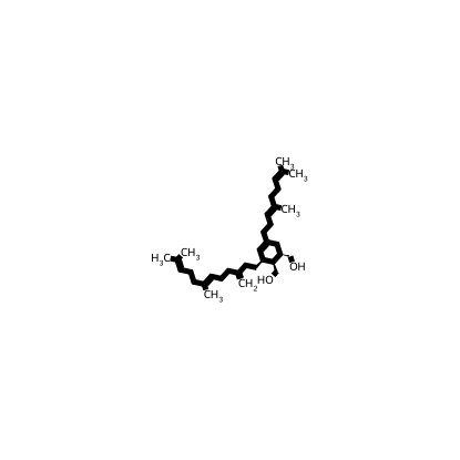 C=C(CC/C=C(\C)CCC=C(C)C)CC[C@H]1C=C(CC/C=C(\C)CCC=C(C)C)C[C@H](CO)[C@H]1CO